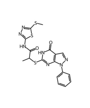 CSc1nnc(NC(=O)C(C)Sc2nc3c(cnn3-c3ccccc3)c(=O)[nH]2)s1